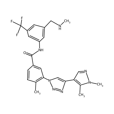 CNCc1cc(NC(=O)c2ccc(C)c(-n3cc(-c4cnn(C)c4C)nn3)c2)cc(C(F)(F)F)c1